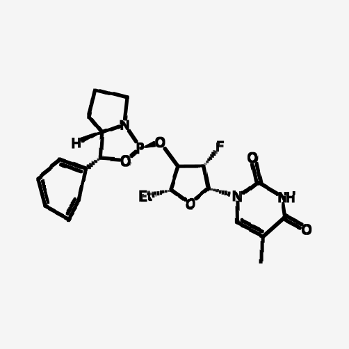 CC[C@H]1O[C@@H](n2cc(C)c(=O)[nH]c2=O)[C@@H](F)C1O[P@@]1O[C@H](c2ccccc2)[C@@H]2CCCN21